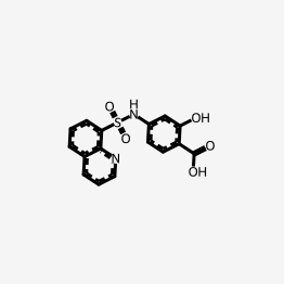 O=C(O)c1ccc(NS(=O)(=O)c2cccc3cccnc23)cc1O